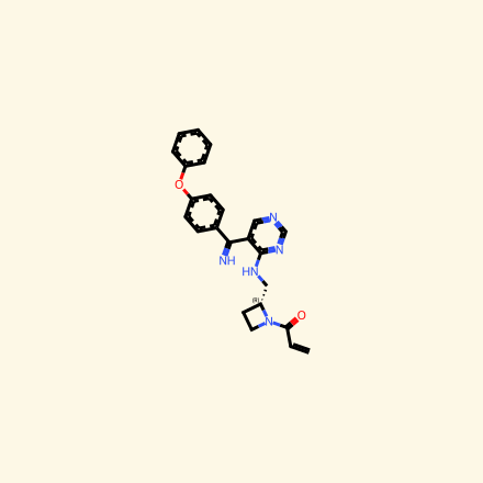 C=CC(=O)N1CC[C@@H]1CNc1ncncc1C(=N)c1ccc(Oc2ccccc2)cc1